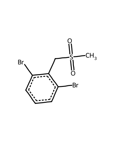 CS(=O)(=O)Cc1c(Br)cccc1Br